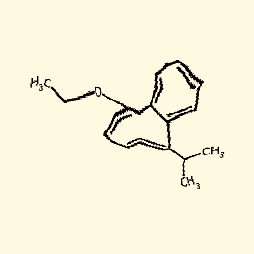 CCOc1ccc(C(C)C)c2ccccc12